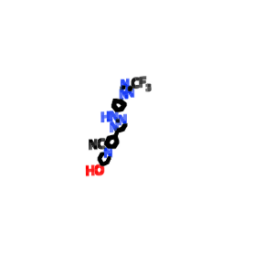 N#Cc1cc(-c2ccnc(Nc3ccc(-n4cnc(C(F)(F)F)n4)cc3)n2)ccc1N1CCC(O)CC1